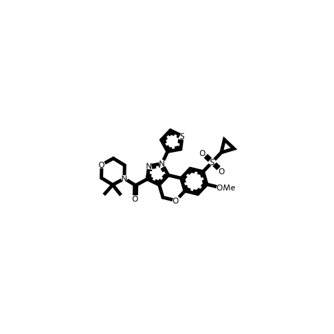 COc1cc2c(cc1S(=O)(=O)C1CC1)-c1c(c(C(=O)N3CCOCC3(C)C)nn1-c1ccsc1)CO2